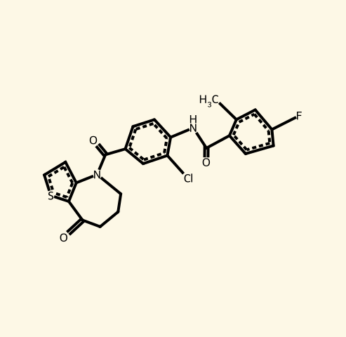 Cc1cc(F)ccc1C(=O)Nc1ccc(C(=O)N2CCCC(=O)c3sccc32)cc1Cl